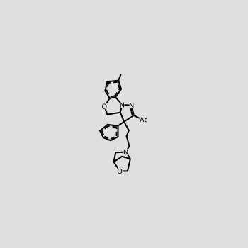 CC(=O)C1=NN2c3cc(C)ccc3OCC2C1(CCCN1CC2CC1CO2)c1ccccc1